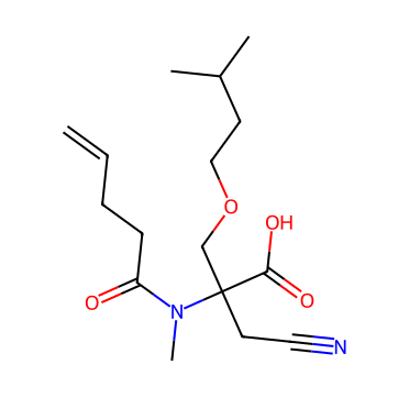 C=CCCC(=O)N(C)C(CC#N)(COCCC(C)C)C(=O)O